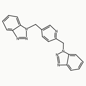 c1ccc2c(c1)nnn2Cc1ccc(Cn2nnc3ccccc32)nc1